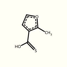 Cc1occc1C(O)=S